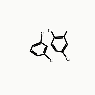 Cc1cc(Cl)ccc1Cl.Clc1cccc(Cl)c1